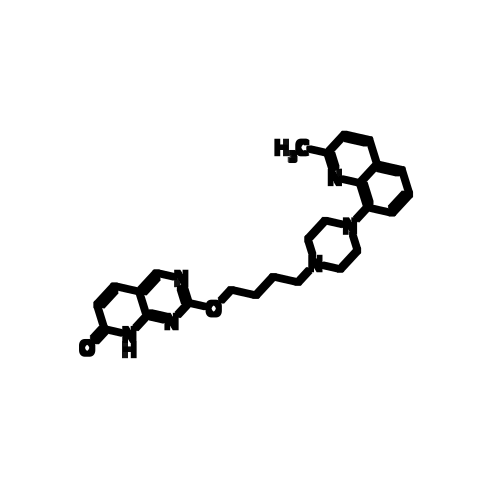 Cc1ccc2cccc(N3CCN(CCCCOc4ncc5ccc(=O)[nH]c5n4)CC3)c2n1